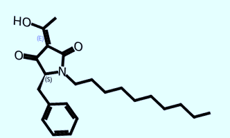 CCCCCCCCCCN1C(=O)/C(=C(\C)O)C(=O)[C@@H]1Cc1ccccc1